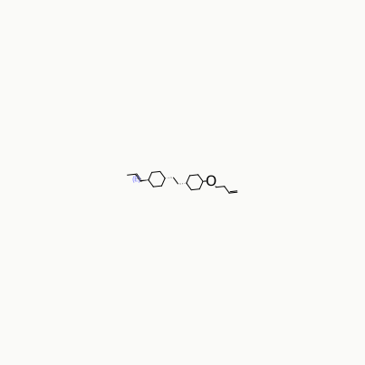 C=CCCO[C@H]1CC[C@H](CC[C@H]2CC[C@H](/C=C/C)CC2)CC1